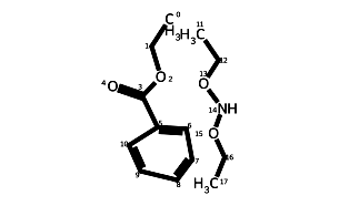 CCOC(=O)c1ccccc1.CCONOCC